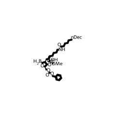 B[C@@H]1O[C@H](COC(=O)OCc2ccccc2)C(OP(=O)(O)OC)[C@@H]1C/C=C/CCCCNC(=O)CCCCCCCCCCCCCCC